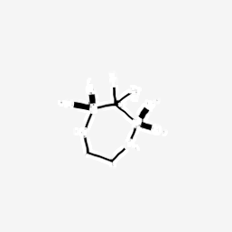 O=S1(=O)OCCOS(=O)(=O)C1(F)Br